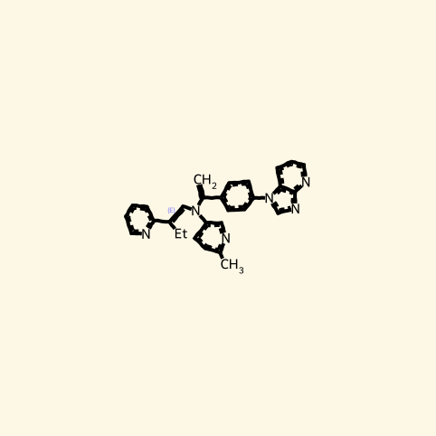 C=C(c1ccc(-n2cnc3ncccc32)cc1)N(/C=C(\CC)c1ccccn1)c1ccc(C)nc1